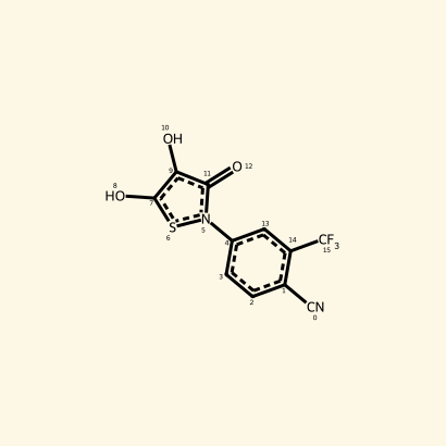 N#Cc1ccc(-n2sc(O)c(O)c2=O)cc1C(F)(F)F